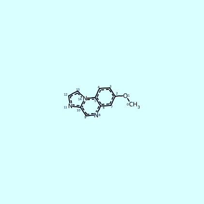 COc1ccc2c(c1)ncc1nccn12